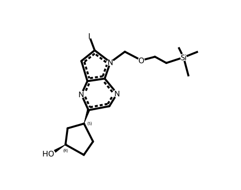 C[Si](C)(C)CCOCn1c(I)cc2nc([C@H]3CC[C@@H](O)C3)cnc21